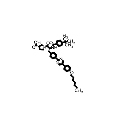 CCCCCCCOc1ccc(-c2cnc(-c3ccc(C[C@H](NC(=O)c4ccc(C(C)(C)C)cc4)C(=O)N4CC[C@@H](C(=O)O)C4)cc3)nc2)cc1